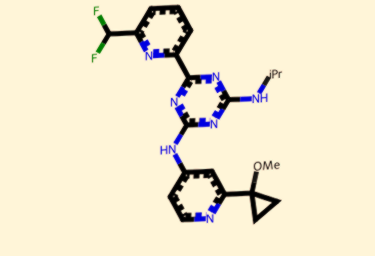 COC1(c2cc(Nc3nc(NC(C)C)nc(-c4cccc(C(F)F)n4)n3)ccn2)CC1